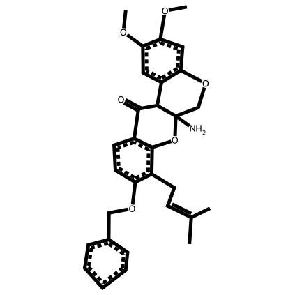 COc1cc2c(cc1OC)C1C(=O)c3ccc(OCc4ccccc4)c(CC=C(C)C)c3OC1(N)CO2